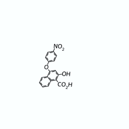 O=C(O)c1c(O)cc(Oc2ccc([N+](=O)[O-])cc2)c2ccccc12